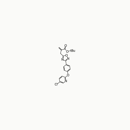 C=C(Cc1nc(-c2ccc(Oc3ccc(Cl)cn3)cc2)no1)C(=O)OC(C)(C)C